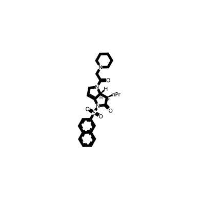 CCC[C@H]1C(=O)N(S(=O)(=O)c2ccc3ccccc3c2)C2=CCN(C(=O)CN3CCCCC3)[C@@H]21